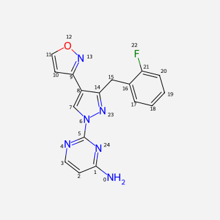 Nc1ccnc(-n2cc(-c3ccon3)c(Cc3ccccc3F)n2)n1